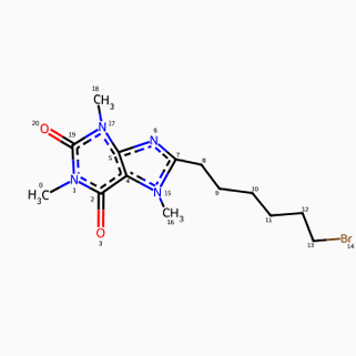 Cn1c(=O)c2c(nc(CCCCCCBr)n2C)n(C)c1=O